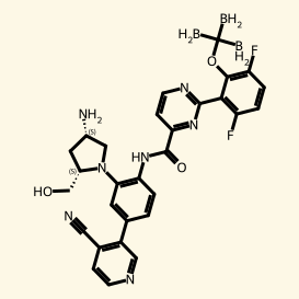 BC(B)(B)Oc1c(F)ccc(F)c1-c1nccc(C(=O)Nc2ccc(-c3cnccc3C#N)cc2N2C[C@@H](N)C[C@H]2CO)n1